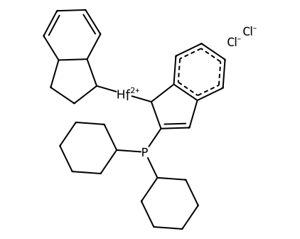 C1=CC2CC[CH]([Hf+2][CH]3C(P(C4CCCCC4)C4CCCCC4)=Cc4ccccc43)C2C=C1.[Cl-].[Cl-]